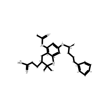 CC(=O)Oc1cc(O[C@@H](C)CCCc2ccccc2)cc2c1CC(CCC(=O)O)C(C)(C)O2